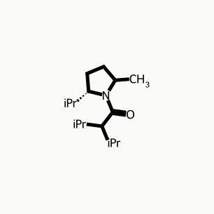 CC(C)C(C(=O)N1C(C)CC[C@H]1C(C)C)C(C)C